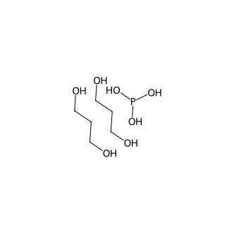 OCCCO.OCCCO.OP(O)O